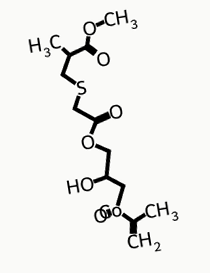 C=[C](C)[Co](=[O])[CH2]C(O)COC(=O)CSCC(C)C(=O)OC